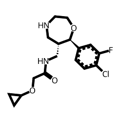 O=C(COC1CC1)NC[C@@H]1CNCCO[C@H]1c1ccc(Cl)c(F)c1